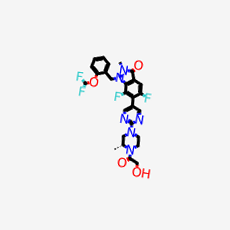 C[C@@H]1CN(c2ncc(-c3c(F)cc4c(=O)n(C)n(Cc5ccccc5OC(F)F)c4c3F)cn2)CCN1C(=O)CO